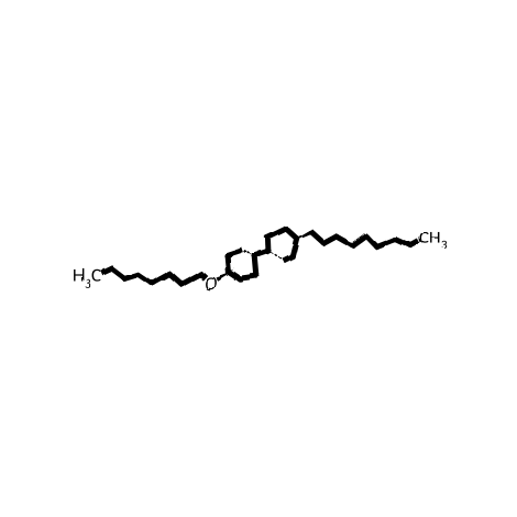 CCCCCCCCC[C@H]1CC[C@H]([C@H]2CC[C@H](OCCCCCCCC)CC2)CC1